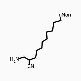 CCCCCCCCCCCCCCCCCCC(C#N)CN